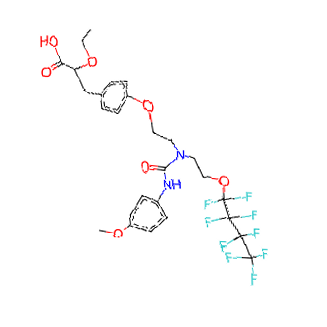 CCOC(Cc1ccc(OCCN(CCOC(F)(F)C(F)(F)C(F)(F)C(F)(F)F)C(=O)Nc2ccc(OC)cc2)cc1)C(=O)O